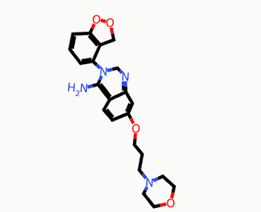 NC1=c2ccc(OCCCN3CCOCC3)cc2=NCN1c1cccc2c1COO2